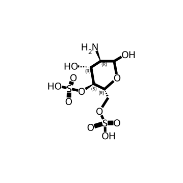 N[C@H]1C(O)O[C@H](COS(=O)(=O)O)[C@@H](OS(=O)(=O)O)[C@@H]1O